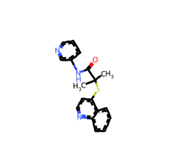 CC(C)(Sc1ccnc2ccccc12)C(=O)Nc1cccnc1